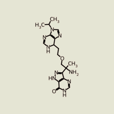 CC(C)n1cnc2c1N=CNC2CCOCC(C)(N)c1n[nH]c2c(=O)[nH]cnc12